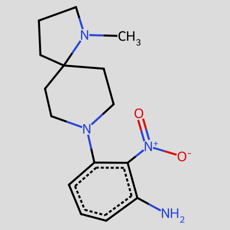 CN1CCCC12CCN(c1cccc(N)c1[N+](=O)[O-])CC2